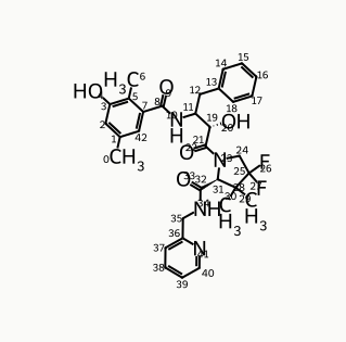 Cc1cc(O)c(C)c(C(=O)NC(Cc2ccccc2)[C@H](O)C(=O)N2CC(F)(F)C(C)(C)[C@H]2C(=O)NCc2ccccn2)c1